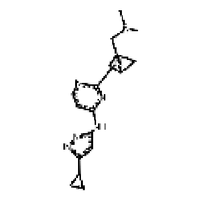 CN(C)CC12CC(C1)N(c1nccc(Nc3cc(C4CC4)[nH]n3)n1)C2